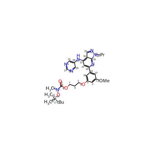 COc1cc(OCCCOC(=O)N(C)O[Si](C)(C)C(C)(C)C)cc(-c2cc(Nc3cncnc3)c3cnn(C(C)C)c3n2)c1